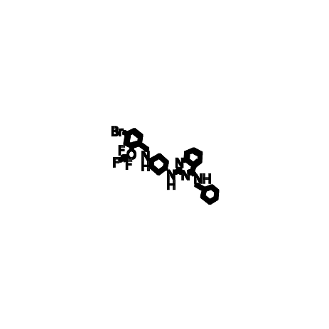 FC(F)(F)Oc1cc(Br)ccc1CN[C@H]1CC[C@@H](Nc2nc(NCC3CCCCC3)c3ccccc3n2)CC1